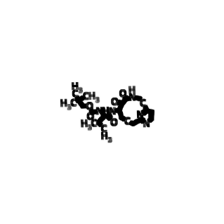 CC(C)C(NC(=O)OCC(C)(C)C)C(=O)NC1CCCc2nccc(n2)CCNC(=O)C1=O